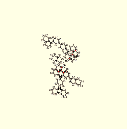 c1ccc(-c2ccccc2N(c2ccc(-c3cccc(-c4cccc5ccccc45)c3)cc2)c2cc(-c3cc(-c4cccc(-c5ccc(-c6ccc7ccccc7c6)cc5N(c5ccc(-n6c7ccccc7c7ccccc76)cc5)c5ccccc5-c5ccccc5)c4)c4ccccc4c3)ccc2-c2ccccc2)cc1